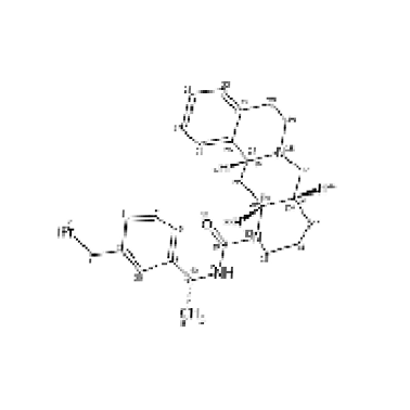 CC(C)Cc1cccc([C@@H](C)NC(=O)N2CCC[C@H]3CN4CCc5ccccc5[C@H]4C[C@H]32)c1